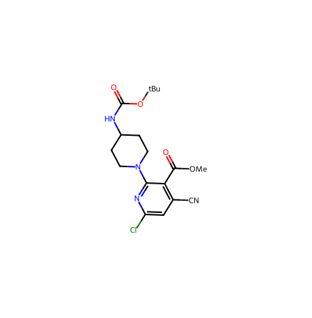 COC(=O)c1c(C#N)cc(Cl)nc1N1CCC(NC(=O)OC(C)(C)C)CC1